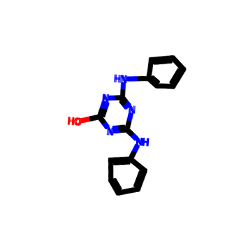 Oc1nc(Nc2ccccc2)nc(Nc2ccccc2)n1